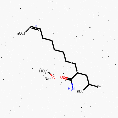 CCCCCCCC/C=C\CCCCCCC(CC(CC)CCCC)C(N)=O.O=S(=O)([O-])O.[Na+]